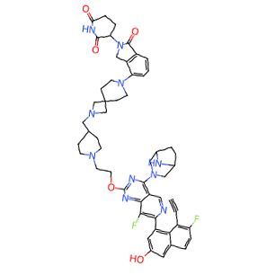 C#Cc1c(F)ccc2cc(O)cc(-c3ncc4c(N5CC6CCC(C5)N6)nc(OCCN5CCC(CN6CC7(CCN(c8cccc9c8CN(C8CCC(=O)NC8=O)C9=O)CC7)C6)CC5)nc4c3F)c12